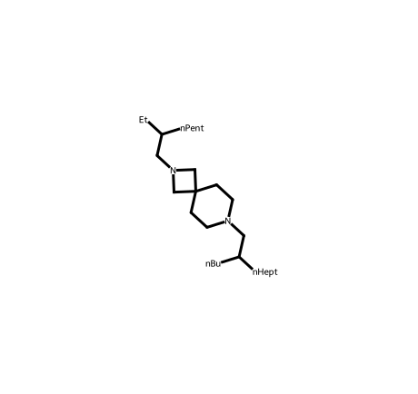 CCCCCCCC(CCCC)CN1CCC2(CC1)CN(CC(CC)CCCCC)C2